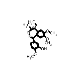 CC[C@@H]1C(C)=NN=C(c2ccc(OC)c(O)c2)c2cc(OC)c(OC)cc21